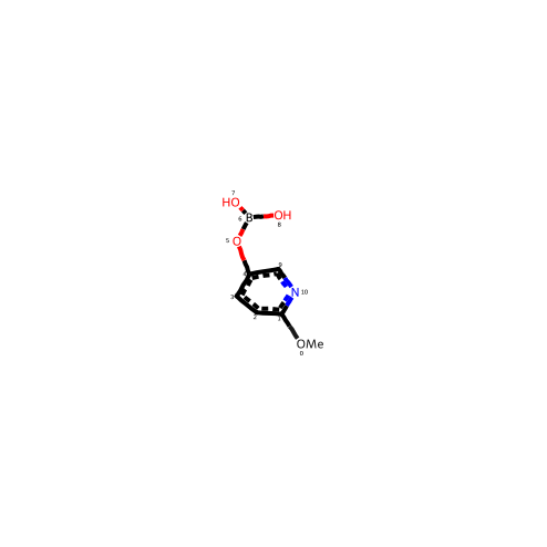 COc1ccc(OB(O)O)cn1